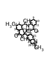 Cc1cc([C@@H](C)Nc2ccccc2C(=O)Cl)c2oc(-c3ccc4nn(C)cc4c3)c(C)c(=O)c2c1